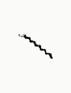 CC(=O)OCC=C(C)CCC=C(C)CCC=C(C)CCC=C(C)CCC=C(C)CCC=C(C)CCC=C(C)CCC=C(C)CCC=C(C)CCC=C(C)CCC=C(C)C